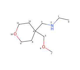 CCNCC1(COC)CCOCC1